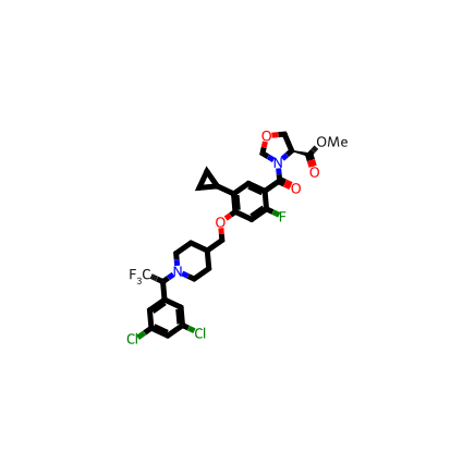 COC(=O)[C@@H]1COCN1C(=O)c1cc(C2CC2)c(OCC2CCN(C(c3cc(Cl)cc(Cl)c3)C(F)(F)F)CC2)cc1F